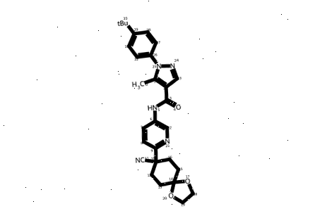 Cc1c(C(=O)Nc2ccc(C3(C#N)CCC4(CC3)OCCO4)nc2)cnn1-c1ccc(C(C)(C)C)cc1